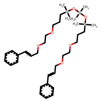 C[Si](C)(CCCOCCOC/C=C/c1ccccc1)O[Si](C)(C)O[Si](C)(C)CCCOCCOC/C=C/c1ccccc1